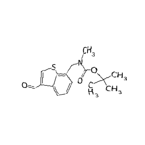 CN(Cc1cccc2c(C=O)csc12)C(=O)OC(C)(C)C